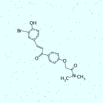 CN(C)C(=O)COc1ccc(C(=O)C=Cc2ccc(O)c(Br)c2)cc1